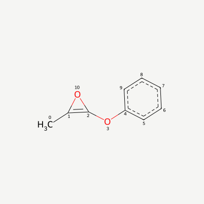 CC1=C(Oc2ccccc2)O1